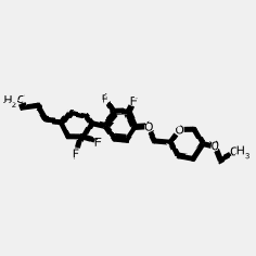 C=CCCC1CCC(c2ccc(OCC3CCC(OCC)CO3)c(F)c2F)C(F)(F)C1